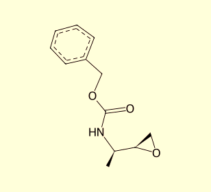 C[C@@H](NC(=O)OCc1ccccc1)[C@H]1CO1